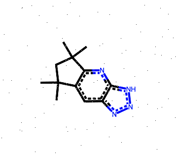 CC1(C)CC(C)(C)c2nc3[nH]nnc3cc21